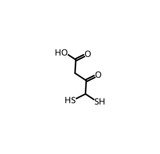 O=C(O)CC(=O)C(S)S